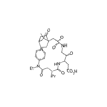 CCN(C(=O)CC(C(=O)NC(CC(=O)O)C(=O)CNS(=O)(=O)CC12CCC(CC1=O)C2(C)C)C(C)C)c1ccncc1